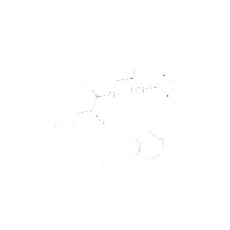 C[C@@H](NC(=O)[C@@H](N)CC(=O)O)C(=O)NC1C(C)(C)SC1(C)C.Cc1ccc(S(=O)(=O)O)c(C)c1